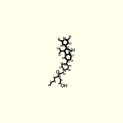 CCCCN(CCO)C(=O)CN1CCC(c2ccc3[nH]c(-c4cc(C)nc(C)c4)c(C(C)C)c3c2)CC1